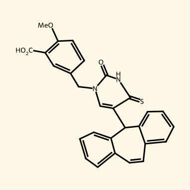 COc1ccc(Cn2cc(C3c4ccccc4C=Cc4ccccc43)c(=S)[nH]c2=O)cc1C(=O)O